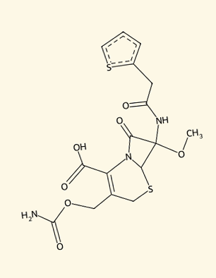 COC1(NC(=O)Cc2cccs2)C(=O)N2C(C(=O)O)=C(COC(N)=O)CSC21